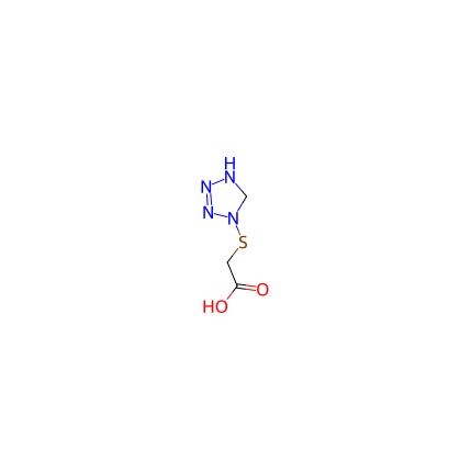 O=C(O)CSN1CNN=N1